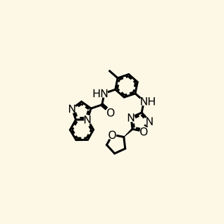 Cc1ccc(Nc2noc([C@H]3CCCO3)n2)cc1NC(=O)c1cnc2ccccn12